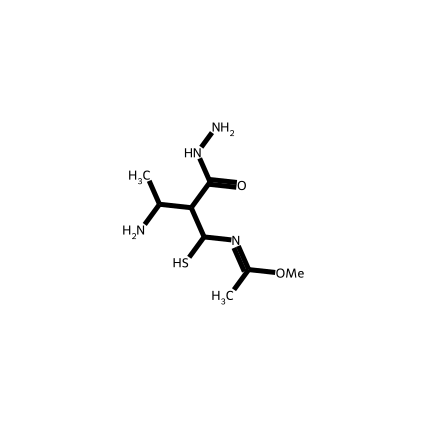 CO/C(C)=N/C(S)C(C(=O)NN)C(C)N